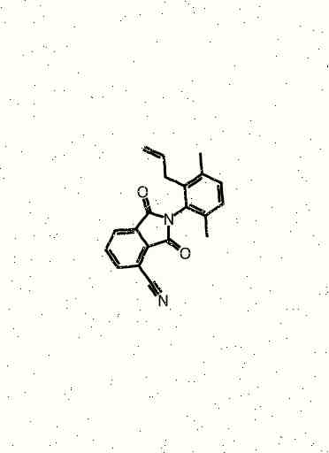 C=CCc1c(C)ccc(C)c1N1C(=O)c2cccc(C#N)c2C1=O